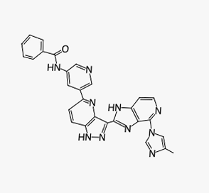 Cc1cn(-c2nccc3[nH]c(-c4n[nH]c5ccc(-c6cncc(NC(=O)c7ccccc7)c6)nc45)nc23)cn1